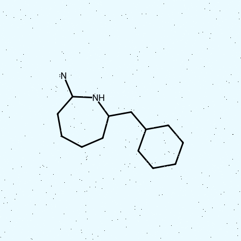 [N]C1CCCCC(CC2CCCCC2)N1